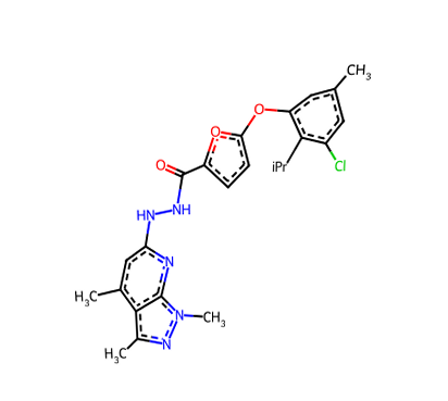 Cc1cc(Cl)c(C(C)C)c(Oc2ccc(C(=O)NNc3cc(C)c4c(C)nn(C)c4n3)o2)c1